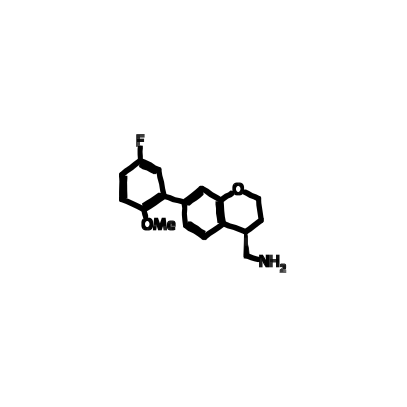 COc1ccc(F)cc1-c1ccc2c(c1)OCC[C@H]2CN